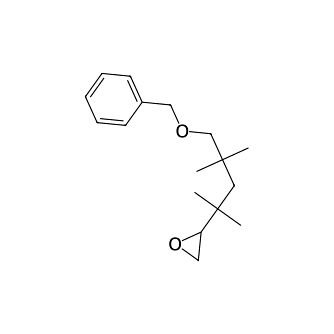 CC(C)(COCc1ccccc1)CC(C)(C)C1CO1